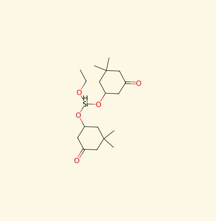 CCO[SiH](OC1CC(=O)CC(C)(C)C1)OC1CC(=O)CC(C)(C)C1